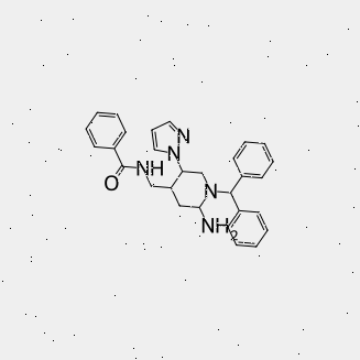 NC1CC(CNC(=O)c2ccccc2)C(n2cccn2)CN1C(c1ccccc1)c1ccccc1